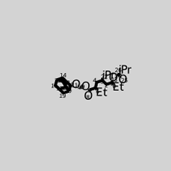 CCC(CC(CC(CC)C(=O)OCOC1C2CC3CC(C2)CC1C3)C(C)C)OC(=O)C(C)C